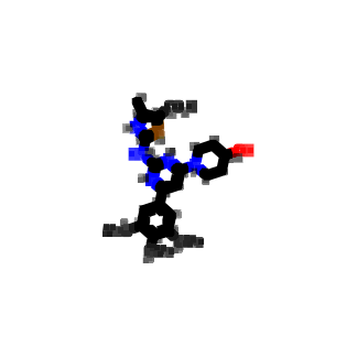 COc1cc(-c2cc(N3CCC(O)CC3)nc(Nc3nc(C)c(C(=O)O)s3)n2)cc(OC)c1OC